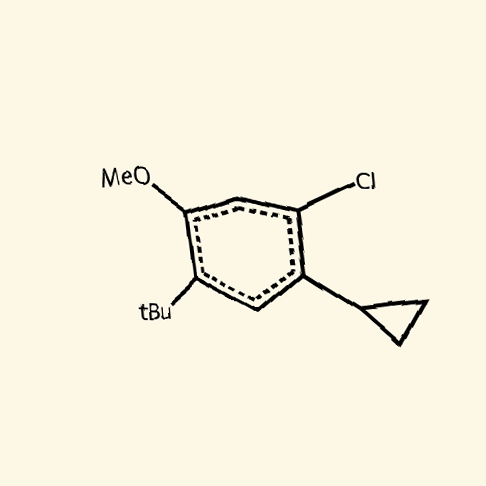 COc1cc(Cl)c(C2CC2)cc1C(C)(C)C